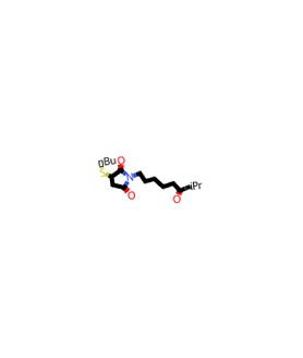 CCCCSC1CC(=O)N(CCCCCC(=O)C(C)C)C1=O